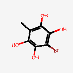 Cc1c(O)c(O)c(Br)c(O)c1O